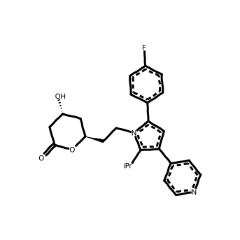 CC(C)c1c(-c2ccncc2)cc(-c2ccc(F)cc2)n1CC[C@@H]1C[C@@H](O)CC(=O)O1